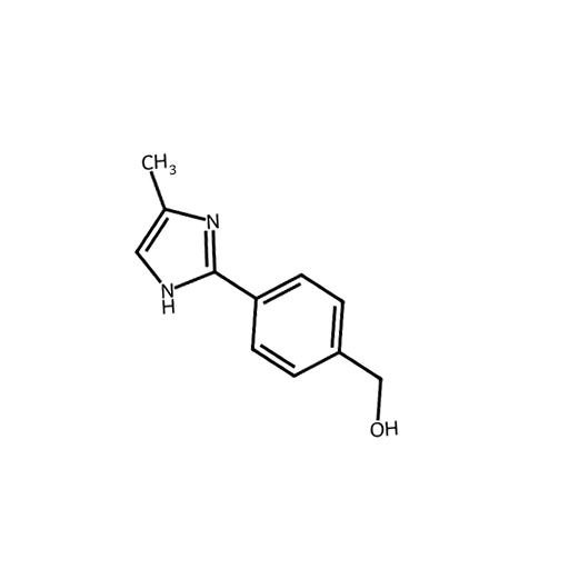 Cc1c[nH]c(-c2ccc(CO)cc2)n1